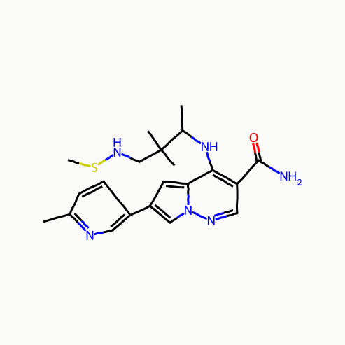 CSNCC(C)(C)C(C)Nc1c(C(N)=O)cnn2cc(-c3ccc(C)nc3)cc12